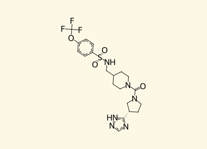 O=C(N1CCC(CNS(=O)(=O)c2ccc(OC(F)(F)F)cc2)CC1)N1CC[C@H](c2ncn[nH]2)C1